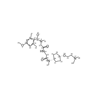 COc1cc(C)c([S+]([O-])N(C)CC(=O)NCC(=O)N(C)[C@H]2CC[C@@H](OCCN(C)C)CC2)c(C)c1